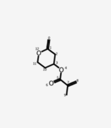 C=C1CC(OC(=O)C(=C)C)CCO1